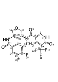 CN(C(=O)c1c[nH]c(=O)c(C(F)(F)F)c1)[C@@H]1COCc2[nH]c(=O)c3cc(F)c(F)cc3c21